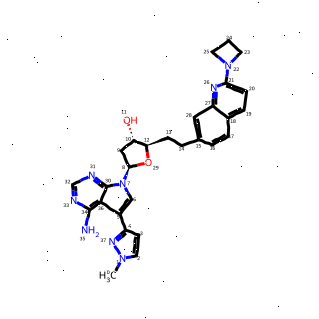 Cn1ccc(-c2cn([C@H]3C[C@H](O)[C@@H](CCc4ccc5ccc(N6CCC6)nc5c4)O3)c3ncnc(N)c23)n1